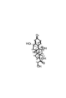 C[C@]12C=CC(=O)C=C1[C@@H](O)C[C@@H]1[C@@H]2C(O)C[C@@]2(C)[C@H]1CC[C@]2(O)C(=O)CO